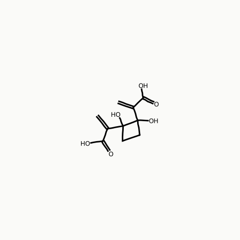 C=C(C(=O)O)C1(O)CCC1(O)C(=C)C(=O)O